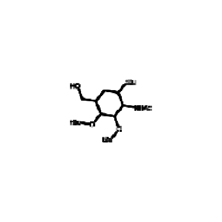 CC(=O)NC1C(OC(C)(C)C)C(OC(C)(C)C)C(CO)CC1C(C)(C)C